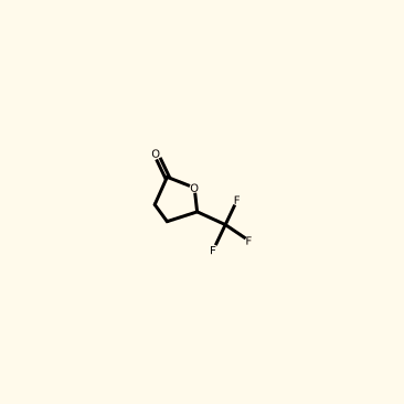 O=C1CCC(C(F)(F)F)O1